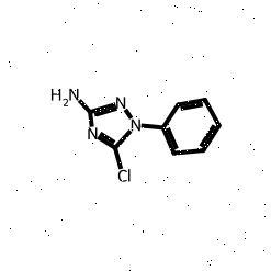 Nc1nc(Cl)n(-c2ccccc2)n1